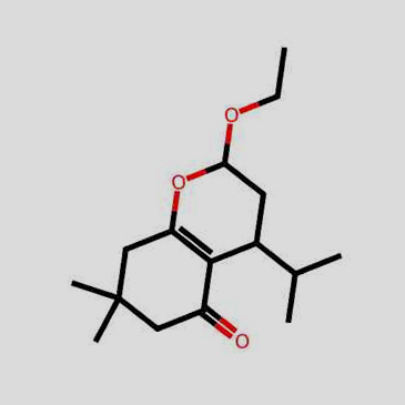 CCOC1CC(C(C)C)C2=C(CC(C)(C)CC2=O)O1